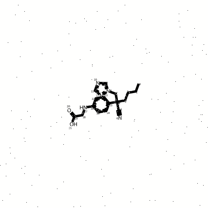 CCCCC(C#N)(Cn1cncn1)c1ccc(NCC(=O)O)cc1